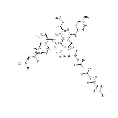 CCN(CC)CC.CCN(CC)CC.CCN(CC)CC.CCN(CC)CC.CCN(CC)CC.CCN(CC)CC.CCN(CC)CC.Nc1ccc(S[C@@H]2O[C@H](COS(=O)(=O)O)[C@@H](O[C@@H]3O[C@H](COS(=O)(=O)O)[C@@H](OS(=O)(=O)O)[C@H](OS(=O)(=O)O)[C@H]3OS(=O)(=O)O)[C@H](OS(=O)(=O)O)[C@H]2OS(=O)(=O)O)cc1